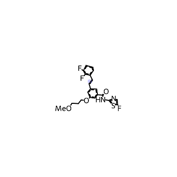 COCCCOc1cc(/C=C/c2cccc(F)c2F)cc(C(=O)Nc2ncc(F)s2)c1